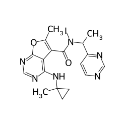 Cc1oc2ncnc(NC3(C)CC3)c2c1C(=O)N(I)C(C)c1ccncn1